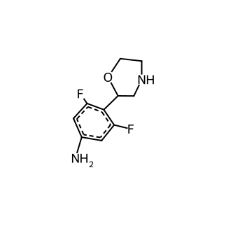 Nc1cc(F)c(C2CNCCO2)c(F)c1